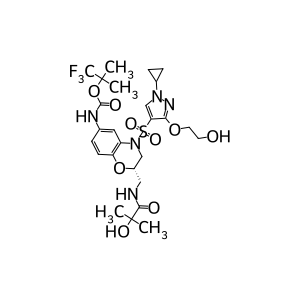 CC(C)(O)C(=O)NC[C@H]1CN(S(=O)(=O)c2cn(C3CC3)nc2OCCO)c2cc(NC(=O)OC(C)(C)C(F)(F)F)ccc2O1